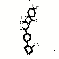 N#Cc1cnccc1-c1ccc(C(=O)CN2C(=O)NC3(CCC(F)(F)CC3)C2=O)cc1